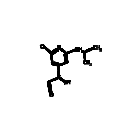 CC(C)Nc1cc(N(S)C=O)cc(Cl)n1